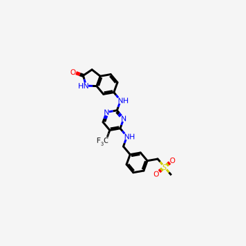 CS(=O)(=O)Cc1cccc(CNc2nc(Nc3ccc4c(c3)NC(=O)C4)ncc2C(F)(F)F)c1